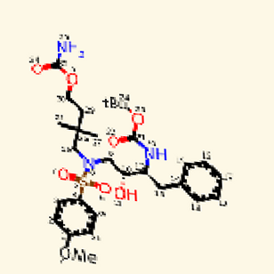 COc1ccc(S(=O)(=O)N(C[C@@H](O)[C@H](Cc2ccccc2)NC(=O)OC(C)(C)C)CC(C)(C)CCOC(N)=O)cc1